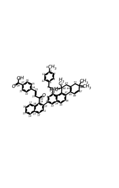 Cc1ccc(CNc2cc(-c3ccc4ccccc4c3C(=O)C=Cc3ccc(C(=O)O)cc3)cc3ccc4c(c23)C(C)(C)CC2=C4C=CC(C)(C)C2)cc1